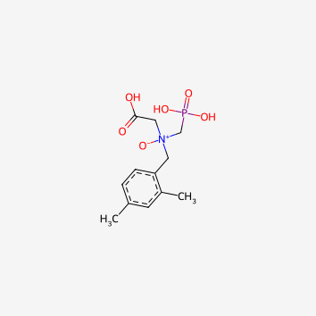 Cc1ccc(C[N+]([O-])(CC(=O)O)CP(=O)(O)O)c(C)c1